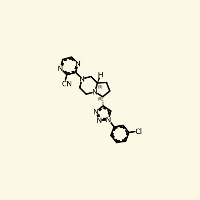 N#Cc1nccnc1N1CCN2[C@@H](CC[C@@H]2c2cn(-c3cccc(Cl)c3)nn2)C1